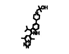 Cc1cc(-c2[nH]c3ccc(C4CCN(CC(C)(C)O)CC4)cc3c2C(C)C)c(C)n2cnnc12